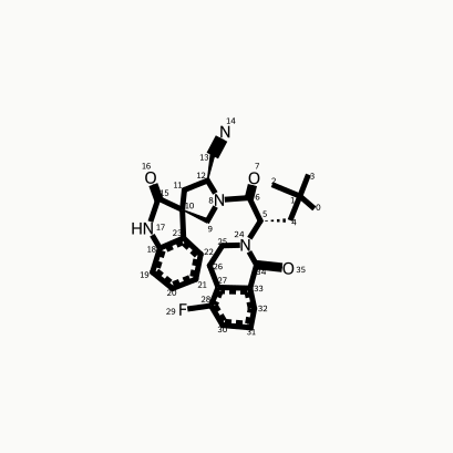 CC(C)(C)C[C@@H](C(=O)N1C[C@]2(C[C@H]1C#N)C(=O)Nc1ccccc12)N1CCc2c(F)cccc2C1=O